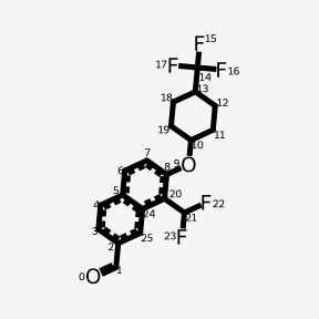 O=Cc1ccc2ccc(OC3CCC(C(F)(F)F)CC3)c(C(F)F)c2c1